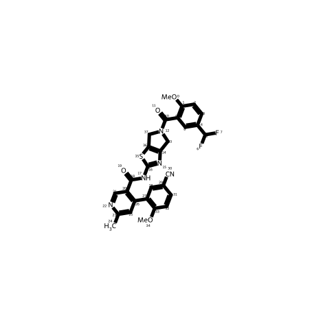 COc1ccc(C(F)F)cc1C(=O)N1Cc2nc(NC(=O)c3cnc(C)cc3-c3cc(C#N)ccc3OC)sc2C1